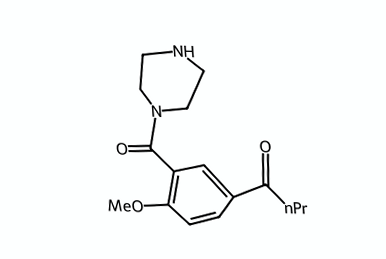 CCCC(=O)c1ccc(OC)c(C(=O)N2CCNCC2)c1